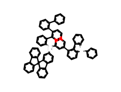 c1ccc(-c2ccccc2-c2ccccc2-c2ccccc2N(c2cccc(-c3cccc4c3c3ccccc3n4-c3ccccc3)c2)c2ccc3c(c2)C2(c4ccccc4-c4ccccc42)c2ccccc2-3)cc1